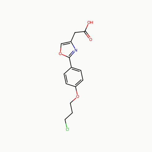 O=C(O)Cc1coc(-c2ccc(OCCCCl)cc2)n1